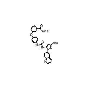 CNC(=O)c1cc(Oc2ccc(NC(=O)Nc3cc(C(C)(C)C)nn3-c3ccc4ncccc4c3)cc2)ccn1